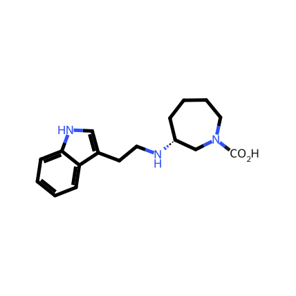 O=C(O)N1CCCC[C@@H](NCCc2c[nH]c3ccccc23)C1